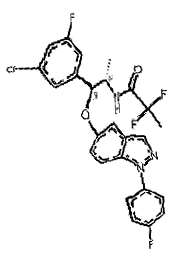 C[C@H](NC(=O)C(C)(F)F)[C@@H](Oc1ccc2c(cnn2-c2ccc(F)cc2)c1)c1cc(F)cc(Cl)c1